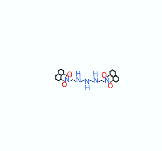 O=C1c2cccc3cccc(c23)C(=O)N1CCCNCCNCCNCCCN1C(=O)c2cccc3cccc(c23)C1=O